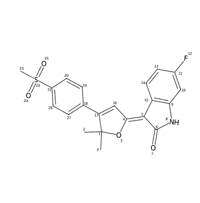 CC1(C)OC(=C2C(=O)Nc3cc(F)ccc32)C=C1c1ccc(S(C)(=O)=O)cc1